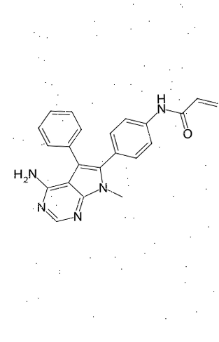 C=CC(=O)Nc1ccc(-c2c(-c3ccccc3)c3c(N)ncnc3n2C)cc1